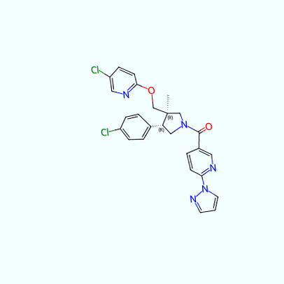 C[C@]1(COc2ccc(Cl)cn2)CN(C(=O)c2ccc(-n3cccn3)nc2)C[C@@H]1c1ccc(Cl)cc1